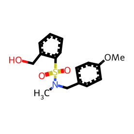 COc1ccc(CN(C)S(=O)(=O)c2ccccc2CO)cc1